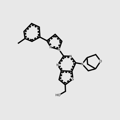 Cc1cccc(-c2ccn(-c3nc(N4CC5CC4CO5)c4sc(CO)cc4n3)n2)c1